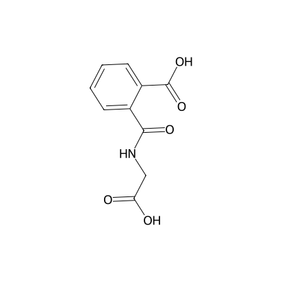 O=C(O)CNC(=O)c1ccccc1C(=O)O